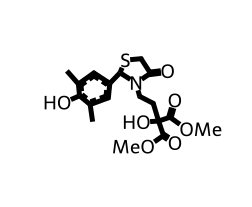 COC(=O)C(O)(CCN1C(=O)CSC1c1cc(C)c(O)c(C)c1)C(=O)OC